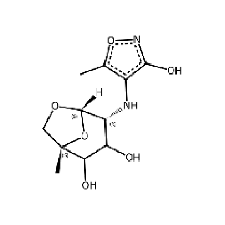 Cc1onc(O)c1N[C@@H]1C(O)C(O)[C@]2(C)CO[C@H]1O2